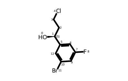 O[C@@H](CCCl)c1cc(F)cc(Br)c1